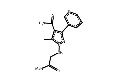 CNC(=O)CNn1nc(-c2cccnc2)c(C(N)=O)c1C